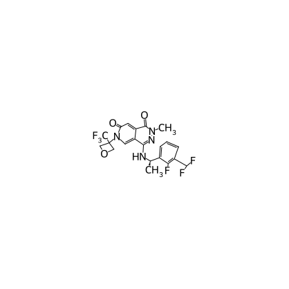 C[C@@H](Nc1nn(C)c(=O)c2cc(=O)n(C3(C(F)(F)F)COC3)cc12)c1cccc(C(F)F)c1F